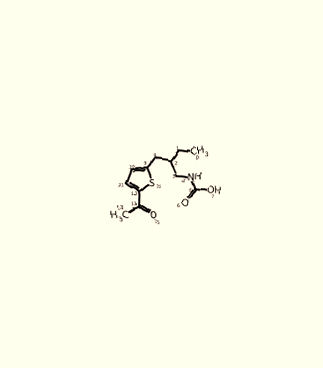 CCC(CNC(=O)O)Cc1ccc(C(C)=O)s1